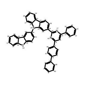 c1ccc(-c2ccc(-c3cc(-c4ccccc4)nc(-c4ccc5c6ccccc6n(-c6ccc7sc8ccccc8c7c6)c5c4)n3)cc2)cc1